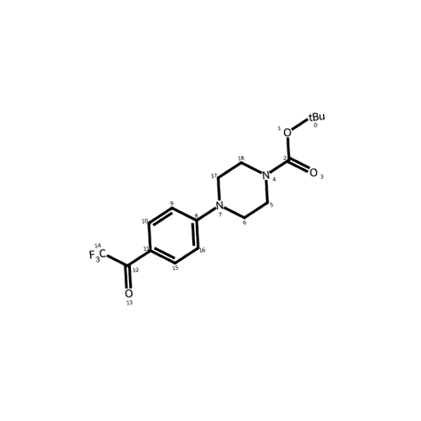 CC(C)(C)OC(=O)N1CCN(c2ccc(C(=O)C(F)(F)F)cc2)CC1